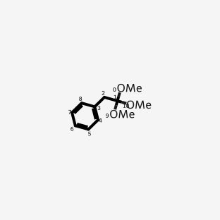 COC(Cc1ccccc1)(OC)OC